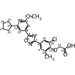 COc1cc(-c2nc(-c3cc(C)c(OCC(=O)O)c(Cl)c3)no2)cc(C2CCCC2)n1